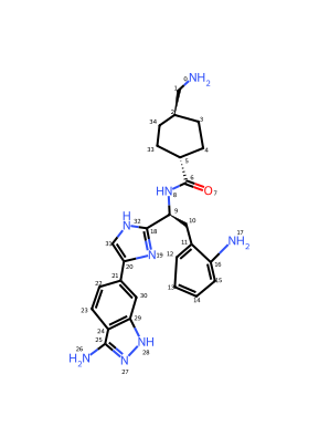 NC[C@H]1CC[C@H](C(=O)N[C@@H](Cc2ccccc2N)c2nc(-c3ccc4c(N)n[nH]c4c3)c[nH]2)CC1